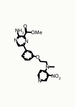 COC(=O)c1nc(-c2cccc(OCCN(C)c3ccncc3[N+](=O)[O-])c2)cnc1N